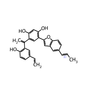 C=Cc1ccc(O)c(C(=C)c2cc(-c3cc4cc(/C=C/C)ccc4o3)c(O)cc2O)c1